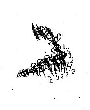 Cl.Cl.Cl.Cl.Cl.Cl.Cl.NCC(=O)[O-].NCC(=O)[O-].NCC(=O)[O-].NCC(=O)[O-].NCC(=O)[O-].NCC(=O)[O-].NCC(=O)[O-].[Al+3].[Zr+4]